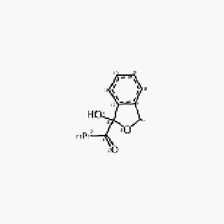 CCCC(=O)C1(O)OCc2ccccc21